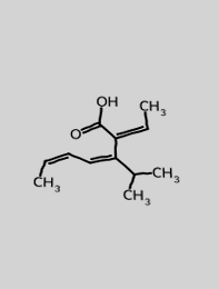 C\C=C/C=C(\C(=C\C)C(=O)O)C(C)C